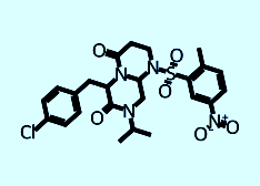 Cc1ccc([N+](=O)[O-])cc1S(=O)(=O)N1CCC(=O)N2C(Cc3ccc(Cl)cc3)C(=O)N(C(C)C)CC21